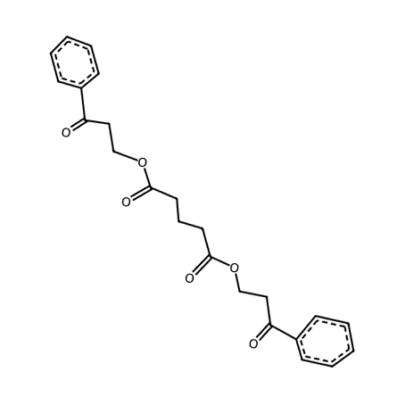 O=C(CCCC(=O)OCCC(=O)c1ccccc1)OCCC(=O)c1ccccc1